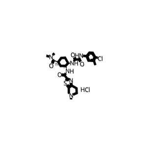 Cc1cc(NC(=O)C(=O)N[C@H]2CC[C@H](C(=O)N(C)C)C[C@H]2NC(=O)c2nc3c(s2)CN(C)CC3)ccc1Cl.Cl